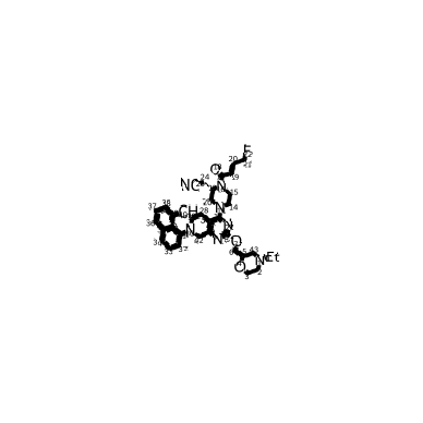 CCN1CCOC(COc2nc3c(c(N4CCN(C(=O)/C=C/CF)[C@@H](CC#N)C4)n2)CCN(c2cccc4cccc(C)c24)C3)C1